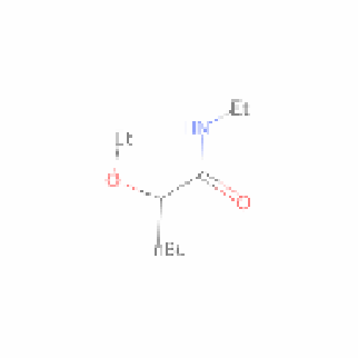 CCCCC(OCC)C(=O)NCC